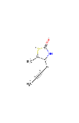 CC#CCC1NC(=O)SC1C